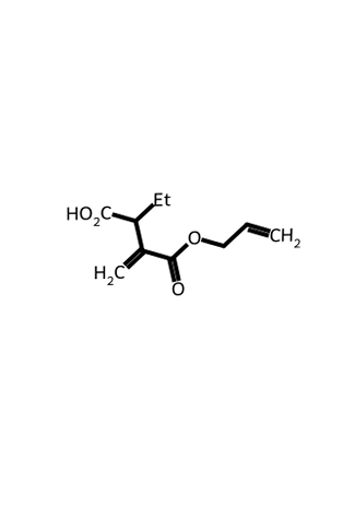 C=CCOC(=O)C(=C)C(CC)C(=O)O